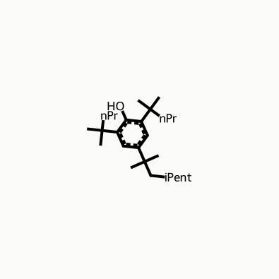 CCCC(C)CC(C)(C)c1cc(C(C)(C)CCC)c(O)c(C(C)(C)CCC)c1